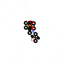 c1ccc(C2(c3ccccc3)c3ccccc3-c3ccc(-c4ccccc4N(c4ccc5c(c4)C4(c6ccccc6Oc6ccccc64)c4ccccc4-5)c4ccc5c(c4)C4(c6ccccc6Sc6ccccc64)c4ccccc4-5)cc32)cc1